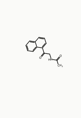 CC(=O)NCC(=O)c1cccc2ccccc12